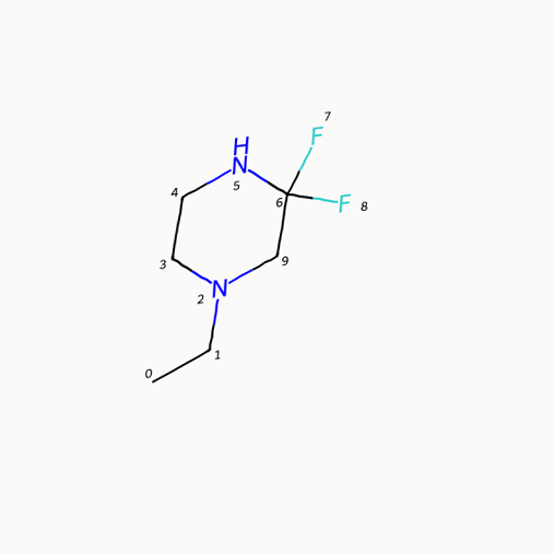 CCN1CCNC(F)(F)C1